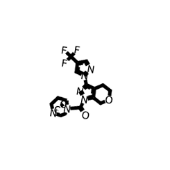 O=C(N1CCN2CCC1CC2)n1nc(-n2cc(C(F)(F)F)cn2)c2c1COCC2